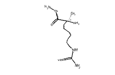 C[C@](N)(CCCNC(=N)N)C(=O)ON